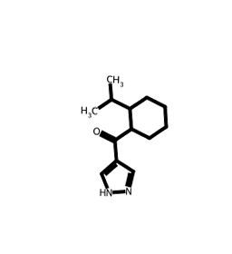 CC(C)C1CCCCC1C(=O)c1cn[nH]c1